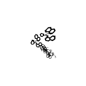 O=S(=O)([O-])C(F)(F)C(F)(F)C(F)(F)F.O=S(=O)([O-])C(F)(F)F.c1ccc([S+](c2cccc3ccccc23)c2cccc3ccccc23)cc1.c1ccc([S+](c2cccc3ccccc23)c2cccc3ccccc23)cc1